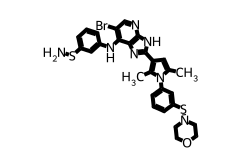 Cc1cc(-c2nc3c(Nc4cccc(SN)c4)c(Br)cnc3[nH]2)c(C)n1-c1cccc(SN2CCOCC2)c1